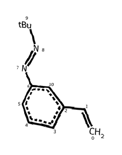 C=Cc1cccc(N=NC(C)(C)C)c1